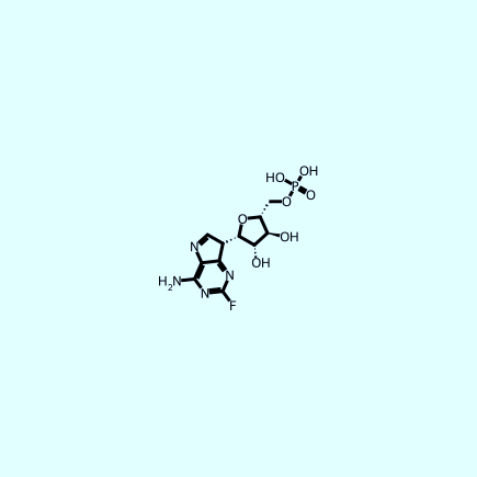 Nc1nc(F)nc2c1N=CC2[C@@H]1O[C@H](COP(=O)(O)O)[C@@H](O)[C@@H]1O